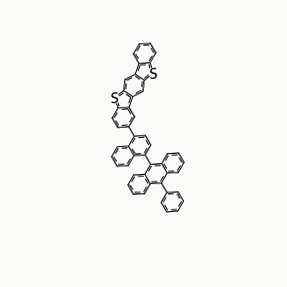 c1ccc(-c2c3ccccc3c(-c3ccc(-c4ccc5sc6cc7c(cc6c5c4)sc4ccccc47)c4ccccc34)c3ccccc23)cc1